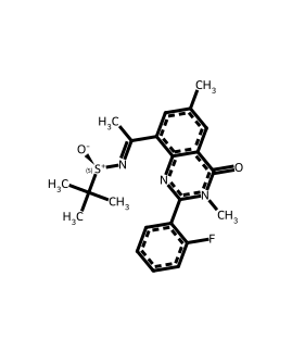 CC(=N[S@+]([O-])C(C)(C)C)c1cc(C)cc2c(=O)n(C)c(-c3ccccc3F)nc12